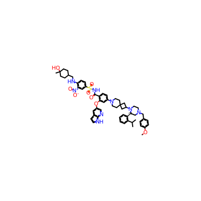 COc1ccc(CN2CCN(C3CC4(CCN(c5ccc(C(=O)NS(=O)(=O)c6ccc(NCC7CCC(C)(O)CC7)c([N+](=O)[O-])c6)c(Oc6cnc7[nH]ccc7c6)c5)CC4)C3)[C@H](c3ccccc3C(C)C)C2)cc1